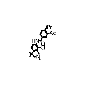 CC(=O)c1cc(C(=O)Nc2ccc3c(c2Cl)CN(C)CC3(C)C)ccc1C(C)C